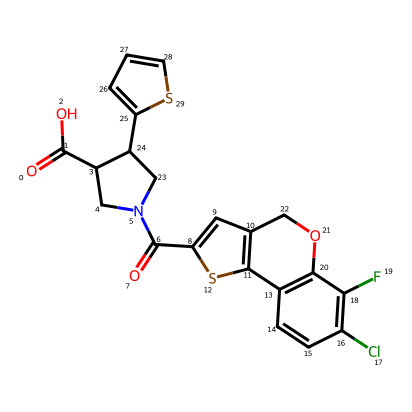 O=C(O)C1CN(C(=O)c2cc3c(s2)-c2ccc(Cl)c(F)c2OC3)CC1c1cccs1